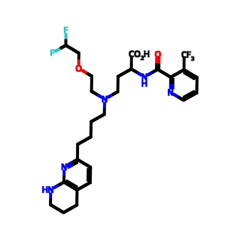 O=C(NC(CCN(CCCCc1ccc2c(n1)NCCC2)CCOCC(F)F)C(=O)O)c1ncccc1C(F)(F)F